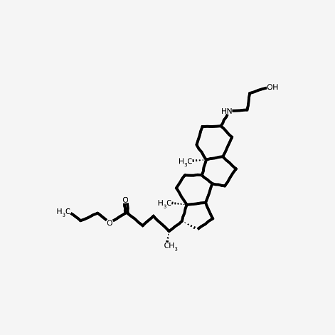 CCCOC(=O)CC[C@@H](C)[C@H]1CCC2C3CCC4CC(NCCO)CC[C@]4(C)C3CC[C@@]21C